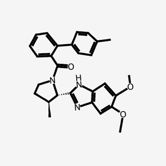 COc1cc2nc([C@@H]3[C@@H](C)CCN3C(=O)c3ccccc3-c3ccc(C)cc3)[nH]c2cc1OC